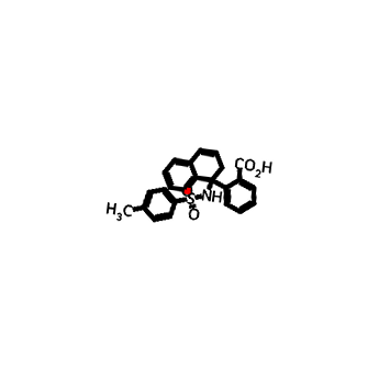 Cc1ccc(S(=O)(=O)NC2(c3ccccc3C(=O)O)CC=Cc3ccccc32)cc1